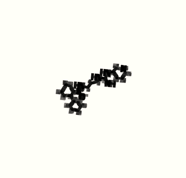 N=C(NCCCN[S+]([O-])c1ccccc1-c1ccccc1)Nc1cccnc1